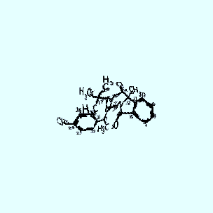 CC(CN1C(=O)c2ccccc2C1(C)C(=O)NC(C)(C)C)c1ccc(Cl)cc1